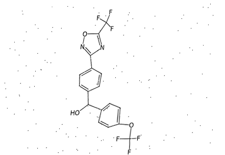 OC(c1ccc(OC(F)(F)F)cc1)c1ccc(-c2noc(C(F)(F)F)n2)cc1